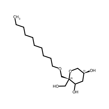 CCCCCCCCCCOC[C@@]1(CO)OC[C@@H](O)CC1O